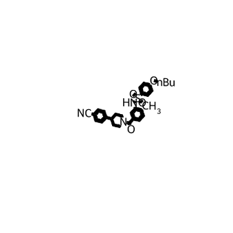 CCCCOc1ccc(S(=O)(=O)Nc2cc(C(=O)N3CCC(c4ccc(C#N)cc4)CC3)ccc2C)cc1